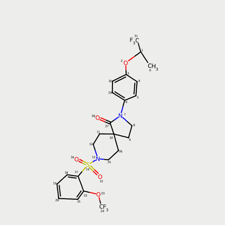 CC(Oc1ccc(N2CCC3(CCN(S(=O)(=O)c4ccccc4OC(F)(F)F)CC3)C2=O)cc1)C(F)(F)F